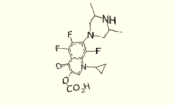 CC1CN(c2c(F)c(F)c3c(=O)c(OC(=O)O)cn(C4CC4)c3c2F)CC(C)N1